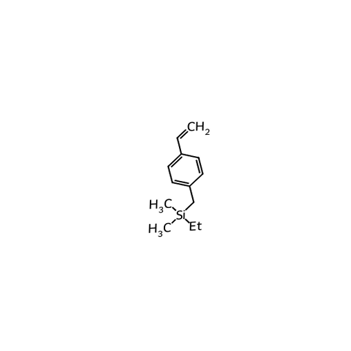 C=Cc1ccc(C[Si](C)(C)CC)cc1